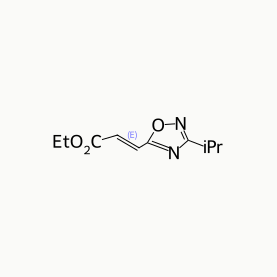 CCOC(=O)/C=C/c1nc(C(C)C)no1